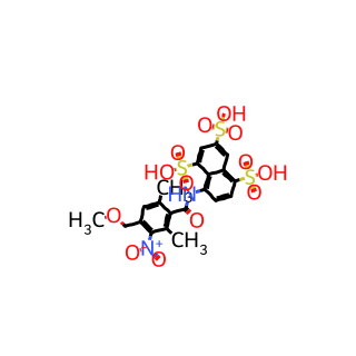 COCc1cc(C)c(C(=O)Nc2ccc(S(=O)(=O)O)c3cc(S(=O)(=O)O)cc(S(=O)(=O)O)c23)c(C)c1[N+](=O)[O-]